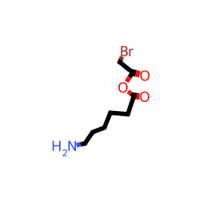 NCCCCCC(=O)OC(=O)CBr